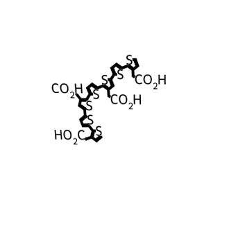 O=C(O)Cc1ccsc1-c1ccc(-c2cc(CC(=O)O)c(-c3ccc(-c4sc(-c5ccc(-c6sccc6CC(=O)O)s5)cc4CC(=O)O)s3)s2)s1